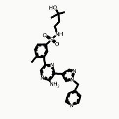 Cc1ccc(S(=O)(=O)NCCC(C)(C)O)cc1-c1cnc(N)c(-c2cnn(Cc3ccncc3)c2)n1